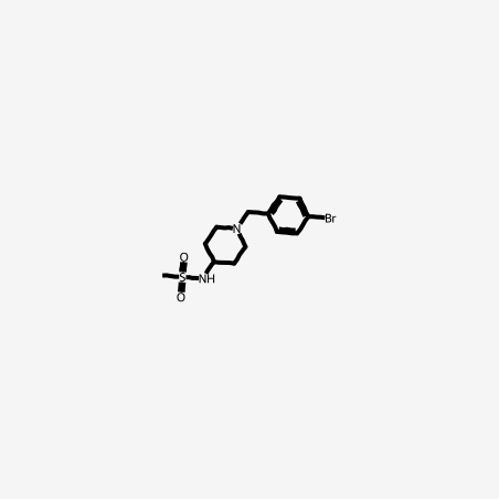 CS(=O)(=O)NC1CCN(Cc2ccc(Br)cc2)CC1